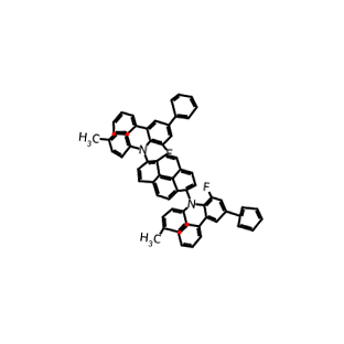 Cc1ccc(N(c2c(F)cc(-c3ccccc3)cc2-c2ccccc2)c2ccc3ccc4c(N(c5ccc(C)cc5)c5c(F)cc(-c6ccccc6)cc5-c5ccccc5)ccc5ccc2c3c54)cc1